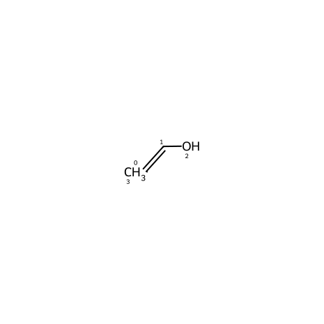 C=CO.[CH3]